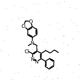 CCCCc1c(-c2ccccc2)nnc(Cl)c1CN(C)c1ccc2c(c1)OCO2